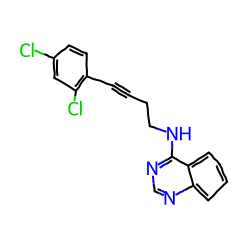 Clc1ccc(C#CCCNc2ncnc3ccccc23)c(Cl)c1